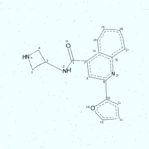 O=C(NC1CNC1)c1cc(-c2ccco2)nc2ccccc12